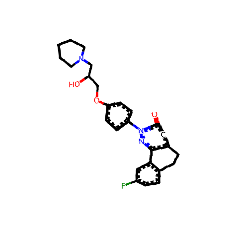 O=c1cc2c(nn1-c1ccc(OCC(O)CN3CCCCC3)cc1)-c1cc(F)ccc1CC2